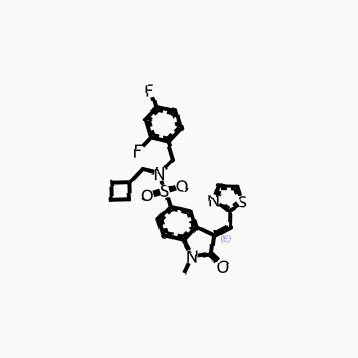 CN1C(=O)/C(=C/c2nccs2)c2cc(S(=O)(=O)N(Cc3ccc(F)cc3F)CC3CCC3)ccc21